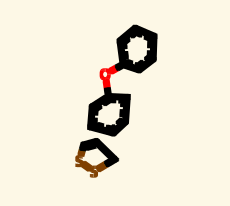 C1=CSSC1.c1ccc(Oc2ccccc2)cc1